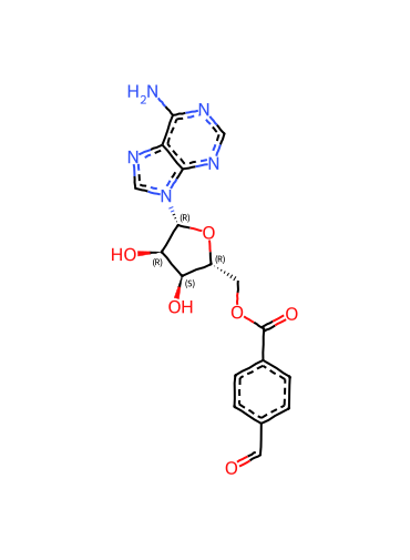 Nc1ncnc2c1ncn2[C@@H]1O[C@H](COC(=O)c2ccc(C=O)cc2)[C@@H](O)[C@H]1O